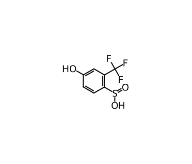 O=S(O)c1ccc(O)cc1C(F)(F)F